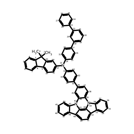 CC1(C)c2ccccc2-c2ccc(N(c3ccc(-c4cccc(-c5ccccc5)c4)cc3)c3ccc(-c4ccc5c(c4)n4c6ccccc6c6ccc7c8ccccc8n5c7c64)cc3)cc21